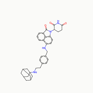 O=C1CCC(N2C(=O)c3cccc4c(NCc5ccc(CCNC67CC8CC(CC(C8)C6)C7)cc5)ccc2c34)C(=O)N1